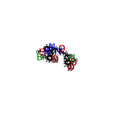 CCOc1ccc2nc(C[N]C(=O)CCC(C)Cc3ccc(OC)c(OC)c3Cl)c(Cc3cc(Br)ccc3OC)n2n1